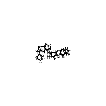 Cc1cc(Nc2ncnc3cnc(N(C)[C@@H]4CCCOC4)nc23)ccc1Oc1ccn2ncnc2c1